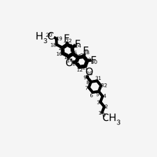 CCCCCC1CCC(COc2cc3oc4cc(CCC)c(F)c(F)c4c3c(F)c2F)CC1